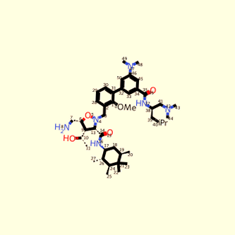 COc1c(CN2O[C@@H](CN)[C@@H]([C@H](C)O)[C@H]2C(=O)N[C@H]2C[C@@H](C)C(C)(C)[C@@H](C)[C@@H]2C)cccc1-c1cc(C(=O)N[C@H](CC(C)C)CN(C)C)cc(N(C)C)c1